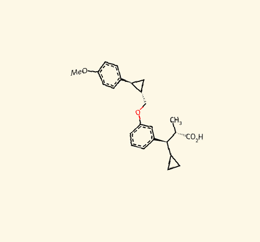 COc1ccc([C@H]2C[C@@H]2COc2cccc([C@H](C3CC3)[C@H](C)C(=O)O)c2)cc1